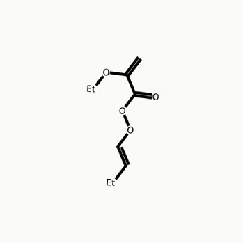 C=C(OCC)C(=O)OOC=CCC